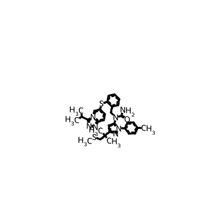 CSCC(C)(C)c1cc(N(Cc2ccccc2Sc2ccc3nnc(C(C)C)n3c2)C(N)=O)n(-c2ccc(C)cc2)n1